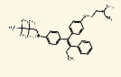 CC/C(=C(\c1ccc(BCC(C)(C)C(C)(C)C)cc1)c1ccc(OCCN(C)C)cc1)c1ccccc1